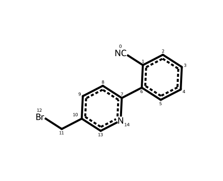 N#Cc1ccccc1-c1ccc(CBr)cn1